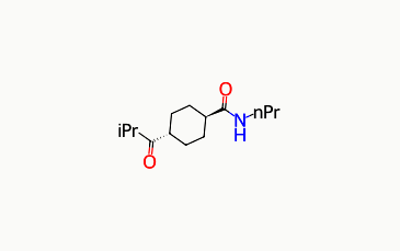 CCCNC(=O)[C@H]1CC[C@H](C(=O)C(C)C)CC1